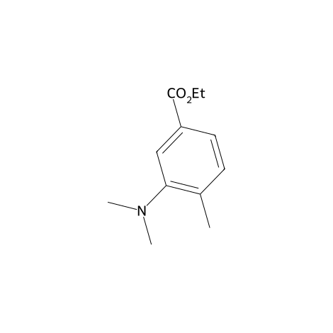 CCOC(=O)c1ccc(C)c(N(C)C)c1